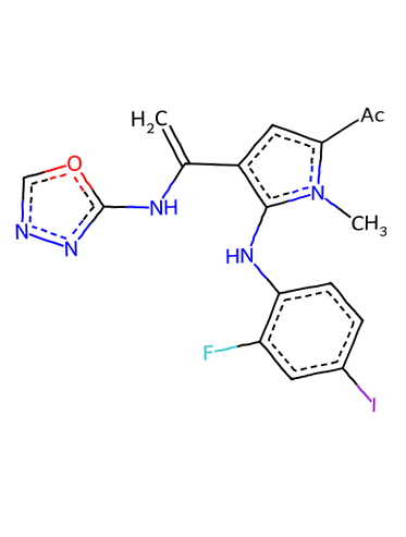 C=C(Nc1nnco1)c1cc(C(C)=O)n(C)c1Nc1ccc(I)cc1F